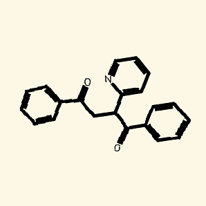 O=C(CC(C(=O)c1ccccc1)c1ccccn1)c1ccccc1